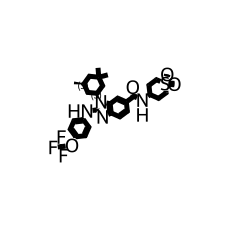 C[C@@H]1C[C@H](n2c(Nc3ccc(OC(F)(F)F)cc3)nc3ccc(C(=O)NC4CCS(=O)(=O)CC4)cc32)CC(C)(C)C1